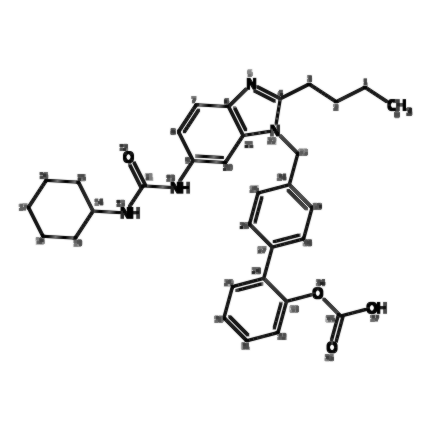 CCCCc1nc2ccc(NC(=O)NC3CCCCC3)cc2n1Cc1ccc(-c2ccccc2OC(=O)O)cc1